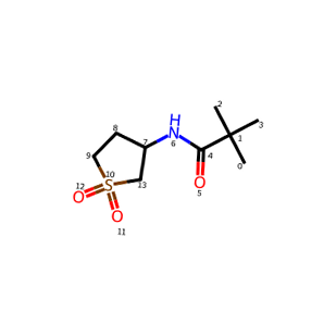 CC(C)(C)C(=O)NC1CCS(=O)(=O)C1